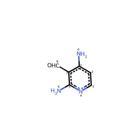 Nc1ccnc(N)c1C=O